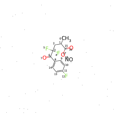 CC(CC(F)(F)C(=O)c1ccc(F)cc1)C(=O)ON=O